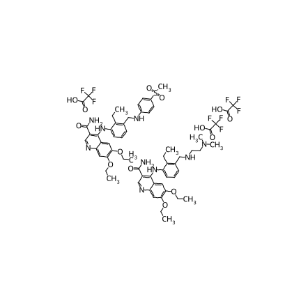 CCOc1cc2ncc(C(N)=O)c(Nc3cccc(CNCCN(C)C)c3CC)c2cc1OCC.CCOc1cc2ncc(C(N)=O)c(Nc3cccc(CNc4ccc(S(C)(=O)=O)cc4)c3CC)c2cc1OCC.O=C(O)C(F)(F)F.O=C(O)C(F)(F)F.O=C(O)C(F)(F)F